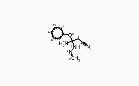 C=NNC(N)(CC#N)Oc1ccccc1